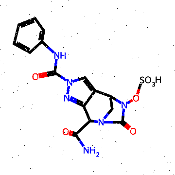 NC(=O)C1c2nn(C(=O)Nc3ccccc3)cc2C2CN1C(=O)N2OS(=O)(=O)O